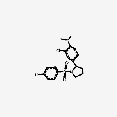 CN(C)c1ccc(C2CCCN2S(=O)(=O)c2ccc(Cl)cc2)cc1Cl